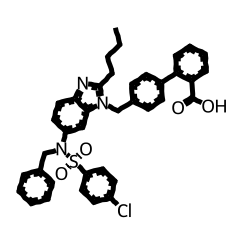 CCCCc1nc2ccc(N(Cc3ccccc3)S(=O)(=O)c3ccc(Cl)cc3)cc2n1Cc1ccc(-c2ccccc2C(=O)O)cc1